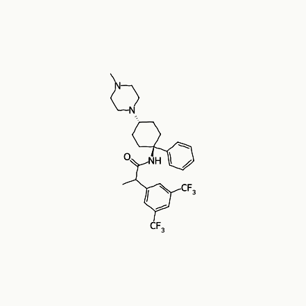 CC(C(=O)N[C@]1(c2ccccc2)CC[C@@H](N2CCN(C)CC2)CC1)c1cc(C(F)(F)F)cc(C(F)(F)F)c1